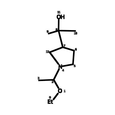 CCOC(C)N1CCC(C(C)(C)O)C1